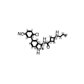 N#Cc1ccc(Cl)c(-c2ccc3[nH]nc(NC(=O)C4CC(NCCF)C4)c3c2)c1